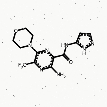 Nc1nc(C(F)(F)F)c(N2CCOCC2)nc1C(=O)Nc1ccn[nH]1